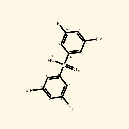 O=P(O)(c1cc(F)cc(F)c1)c1cc(F)cc(F)c1